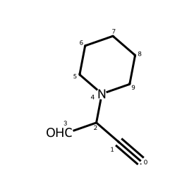 [C]#CC(C=O)N1CCCCC1